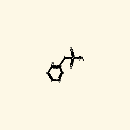 NS(=O)(=O)Cc1cnccn1